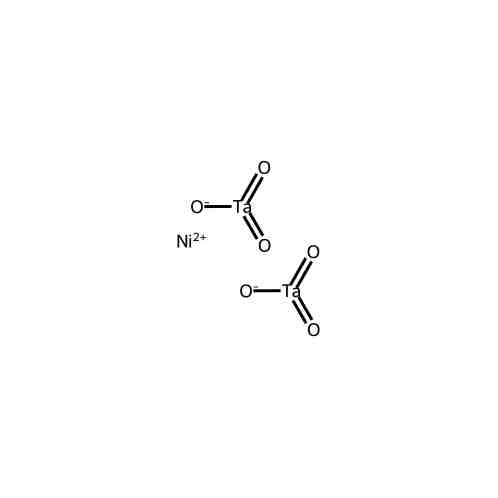 [Ni+2].[O]=[Ta](=[O])[O-].[O]=[Ta](=[O])[O-]